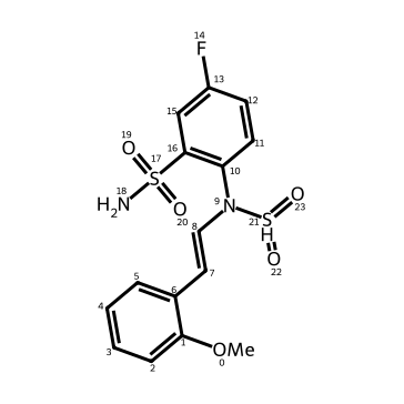 COc1ccccc1C=CN(c1ccc(F)cc1S(N)(=O)=O)[SH](=O)=O